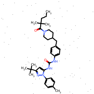 CCCC(C)(C)C(=O)N1CCC(Cc2ccc(NC(=O)Nc3cc(C(C)(C)C)nn3-c3ccc(C)cc3)cc2)CC1